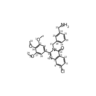 COc1cc(-c2nc3cc(Cl)ccc3c(=O)n2Cc2cccc(CN)c2)cc(OC)c1OC